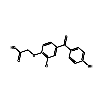 O=C(O)COc1ccc(C(=O)c2ccc(O)cc2)cc1Cl